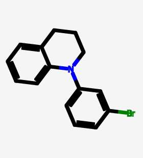 Brc1cccc(N2CCCc3ccccc32)c1